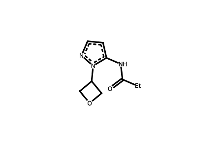 CCC(=O)Nc1ccnn1C1COC1